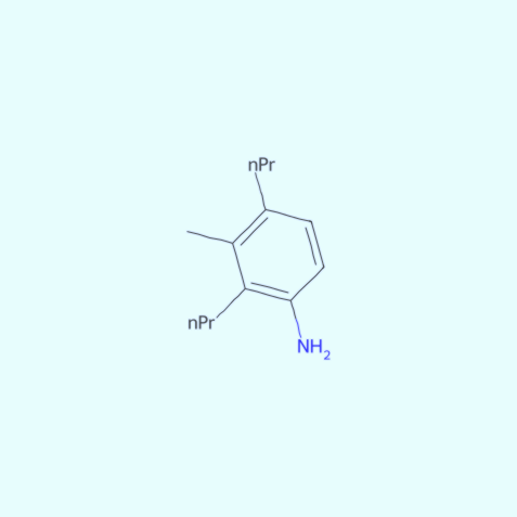 CCCc1ccc(N)c(CCC)c1C